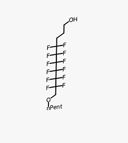 CCCCCOCC(F)(F)C(F)(F)C(F)(F)C(F)(F)C(F)(F)C(F)(F)CCCO